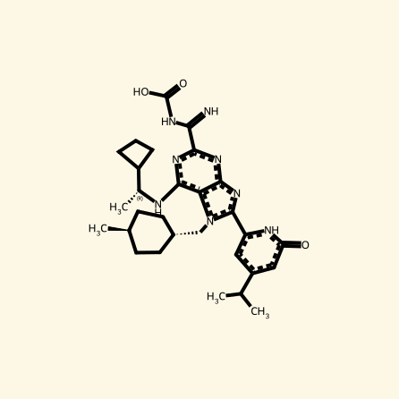 CC(C)c1cc(-c2nc3nc(C(=N)NC(=O)O)nc(N[C@H](C)C4CCC4)c3n2C[C@H]2CC[C@H](C)CC2)[nH]c(=O)c1